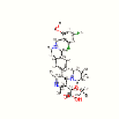 COc1cc(F)cc(F)c1CN1CCc2cc(-c3c(C)nc(C)c(C(OC(C)(C)C)C(=O)O)c3N3CCC(C)(C)CC3)ccc2C1